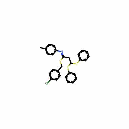 Cc1ccc(N=C(CC(Sc2ccccc2)Sc2ccccc2)SCc2ccc(Cl)cc2)cc1